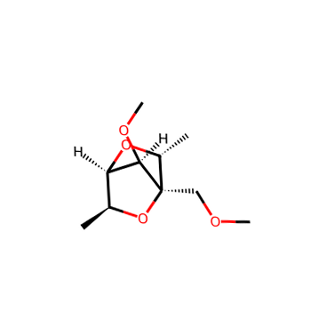 COC[C@@]12O[C@@H](C)[C@@H](O[C@@H]1C)[C@H]2OC